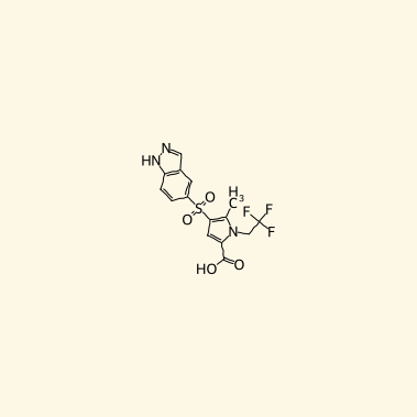 Cc1c(S(=O)(=O)c2ccc3[nH]ncc3c2)cc(C(=O)O)n1CC(F)(F)F